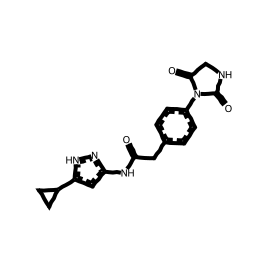 O=C(Cc1ccc(N2C(=O)CNC2=O)cc1)Nc1cc(C2CC2)[nH]n1